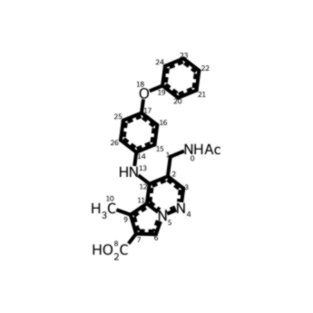 CC(=O)NCc1cnn2cc(C(=O)O)c(C)c2c1Nc1ccc(Oc2ccccc2)cc1